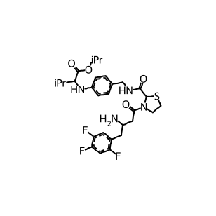 CC(C)OC(=O)C(Nc1ccc(CNC(=O)C2SCCN2C(=O)CC(N)Cc2cc(F)c(F)cc2F)cc1)C(C)C